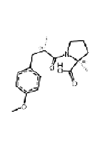 COc1ccc(C[C@H](C)C(=O)N2CCC[C@@]2(C)C(=O)O)cc1